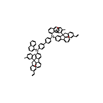 C=Cc1ccc(CC2(c3cc(C)ccc3C)c3ccccc3-c3ccc(N(c4ccc(-c5ccc(N(c6ccc7c(c6)C(Cc6ccc(C=C)cc6)(c6cc(C)ccc6C)c6ccccc6-7)c6cccc7ccccc67)cc5)cc4)c4cccc5ccccc45)cc32)cc1